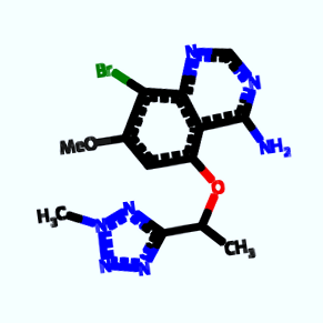 COc1cc(OC(C)c2nnn(C)n2)c2c(N)ncnc2c1Br